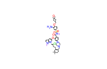 C=C(Cl)CCC1=C(CN2CCN(c3ccc(C(=O)N(I)S(=O)(=O)c4ccc(OCC5CC6(COC6)C5)c(N)c4)c(Oc4cnc5c(ccn5I)c4)c3)CC2)CCC(C)(C)C1